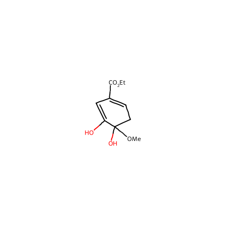 CCOC(=O)C1=CCC(O)(OC)C(O)=C1